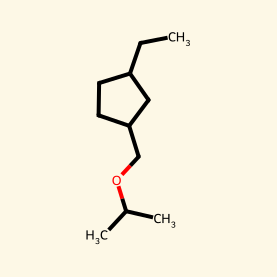 CCC1CCC(COC(C)C)C1